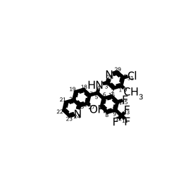 Cc1cc(NC(c2ccc(C(F)(F)F)c(F)c2)c2ccc3cccnc3c2O)ncc1Cl